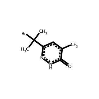 CC(C)(Br)c1cc(C(F)(F)F)c(=O)[nH]n1